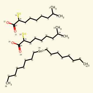 CC(C)CCCCCC(S)C(=O)[O-].CC(C)CCCCCC(S)C(=O)[O-].CCCCCCC[CH2][Sn+2][CH2]CCCCCCC